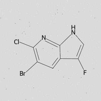 Fc1c[nH]c2nc(Cl)c(Br)cc12